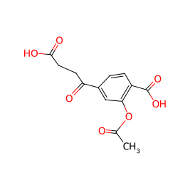 CC(=O)Oc1cc(C(=O)CCC(=O)O)ccc1C(=O)O